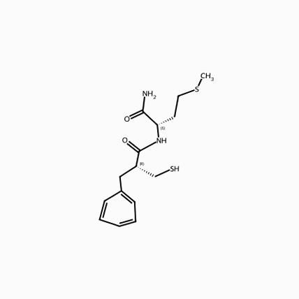 CSCC[C@H](NC(=O)[C@H](CS)Cc1ccccc1)C(N)=O